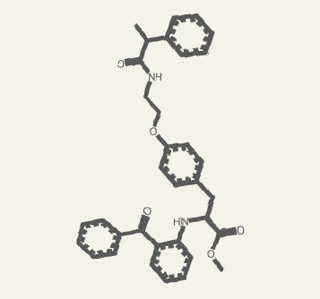 COC(=O)C(Cc1ccc(OCCNC(=O)C(C)c2ccccc2)cc1)Nc1ccccc1C(=O)c1ccccc1